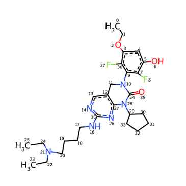 CCOc1cc(O)c(F)c(N2Cc3cnc(NCCCCN(CC)CC)nc3N(C3CCCC3)C2=O)c1F